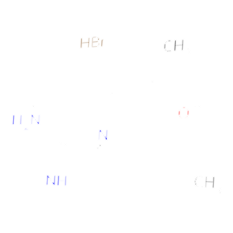 Br.CC1CN(C(=N)N)CC(C)O1